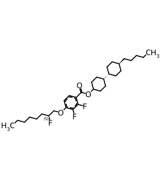 CCCCCC[C@H](F)COc1ccc(C(=O)OC2CCC([C@H]3CC[C@H](CCCCC)CC3)CC2)c(F)c1F